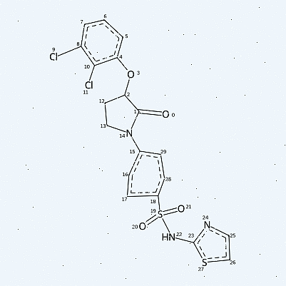 O=C1C(Oc2cccc(Cl)c2Cl)CCN1c1ccc(S(=O)(=O)Nc2nccs2)cc1